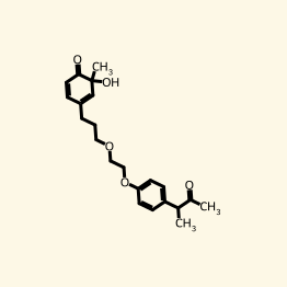 CC(=O)C(C)c1ccc(OCCOCCCC2=CC(C)(O)C(=O)C=C2)cc1